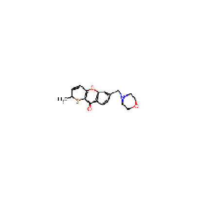 CC1C=Cc2oc3cc(CN4CCOCC4)ccc3c(=O)c2S1